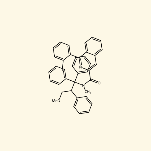 COCC(c1ccccc1)C(c1ccccc1)(c1ccccc1)N(C)C(=O)c1cc2ccccc2c(-c2ccccc2I)n1